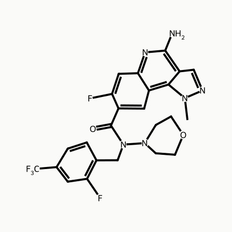 Cn1ncc2c(N)nc3cc(F)c(C(=O)N(Cc4ccc(C(F)(F)F)cc4F)N4CCOCC4)cc3c21